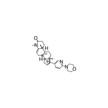 CN1C(=O)CC[C@@]2(C)C1=CC[C@@H]1[C@@H]2CC[C@]2(C)C(c3ccc(N4CCOCC4)nc3)=CC[C@@H]12